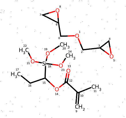 C(OCC1CO1)C1CO1.C=C(C)C(=O)OC(CC)[Si](OC)(OC)OC